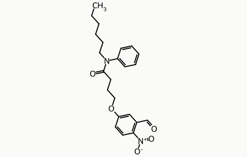 CCCCCCN(C(=O)CCCOc1ccc([N+](=O)[O-])c(C=O)c1)c1ccccc1